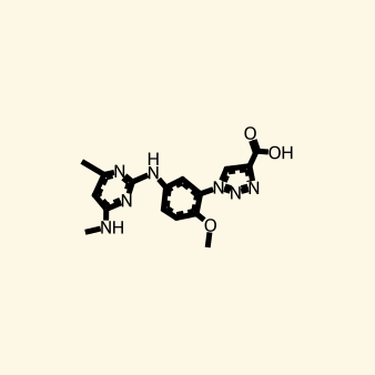 CNc1cc(C)nc(Nc2ccc(OC)c(-n3cc(C(=O)O)nn3)c2)n1